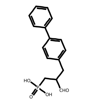 O=CC(Cc1ccc(-c2ccccc2)cc1)CP(=O)(O)O